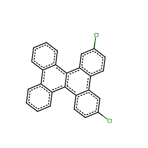 Clc1ccc2c(c1)c1ccc(Cl)cc1c1c3ccccc3c3ccccc3c21